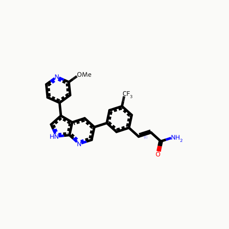 COc1cc(-c2c[nH]c3ncc(-c4cc(/C=C/C(N)=O)cc(C(F)(F)F)c4)cc23)ccn1